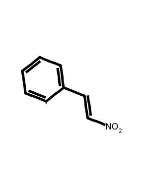 O=[N+]([O-])C=Cc1[c]cccc1